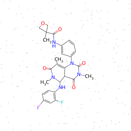 CC1=C2C(C(=O)N(C)C(=O)N2c2cccc(NC(=O)C3(C)COC3)c2)C(Nc2ccc(I)cc2F)N(C)C1=O